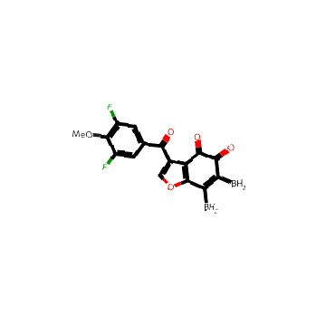 BC1=C(B)c2occ(C(=O)c3cc(F)c(OC)c(F)c3)c2C(=O)C1=O